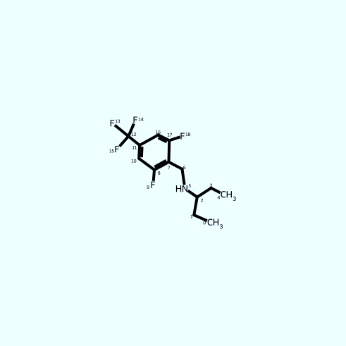 CCC(CC)NCc1c(F)cc(C(F)(F)F)cc1F